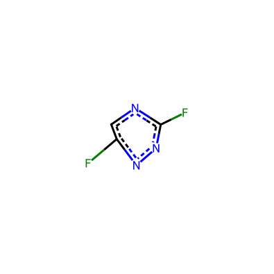 Fc1cnc(F)nn1